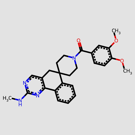 CNc1ncc2c(n1)-c1ccccc1C1(CCN(C(=O)c3ccc(OC)c(OC)c3)CC1)C2